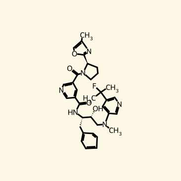 Cc1coc([C@H]2CCCN2C(=O)c2cncc(C(=O)N[C@@H](Cc3ccccc3)[C@H](O)CN(C)c3cncc(C(C)(C)F)c3)c2)n1